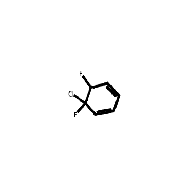 FC1[C]=CC=CC1(F)Cl